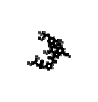 Cc1cc(OC(C)C)ccc1C1(N)C(=O)C(N)c2c(C(=O)N[C@H]3CC[C@@H](NC(=O)CN(C)C)C3)sc3c(N)ccc1c23